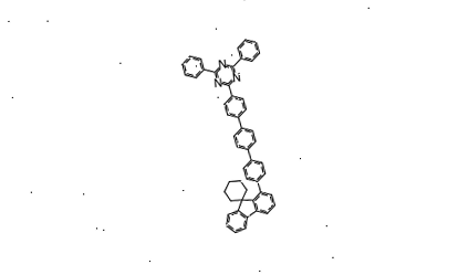 c1ccc(-c2nc(-c3ccccc3)nc(-c3ccc(-c4ccc(-c5ccc(-c6cccc7c6C6(CCCCC6)c6ccccc6-7)cc5)cc4)cc3)n2)cc1